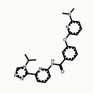 CC(C)n1cnnc1-c1cccc(NC(=O)c2cccc(Oc3cccc(N(C)C)n3)c2)n1